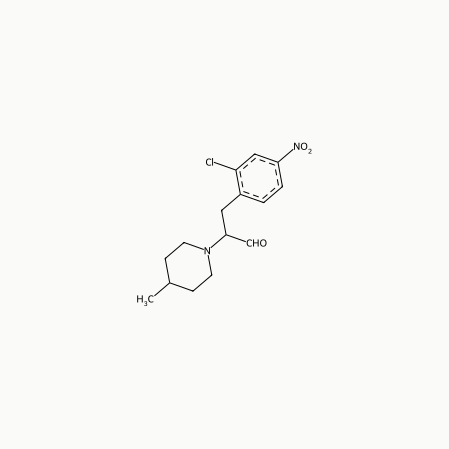 CC1CCN(C(C=O)Cc2ccc([N+](=O)[O-])cc2Cl)CC1